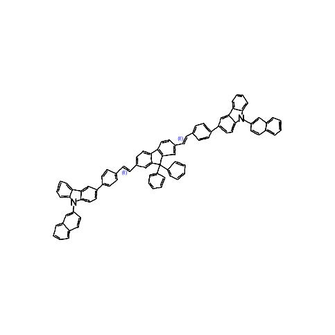 C(=C\c1ccc2c(c1)C(c1ccccc1)(c1ccccc1)c1cc(/C=C/c3ccc(-c4ccc5c(c4)c4ccccc4n5-c4ccc5ccccc5c4)cc3)ccc1-2)/c1ccc(-c2ccc3c(c2)c2ccccc2n3-c2ccc3ccccc3c2)cc1